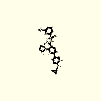 C[C@@H]1CC[C@@H](C)N1c1nc(-c2ccc(OC3CC3)nc2)ccc1C(=O)NS(=O)(=O)c1cccc(N)n1